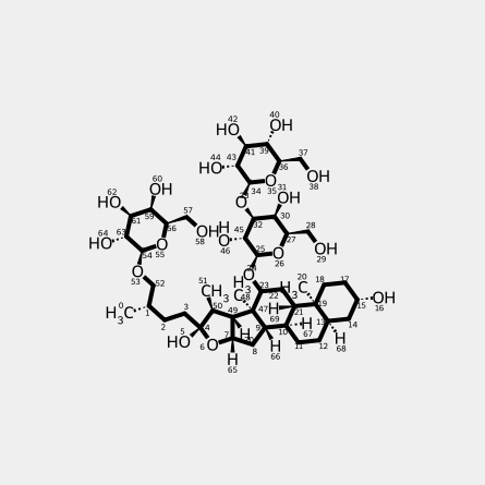 C[C@@H](CC[C@@]1(O)O[C@H]2C[C@H]3[C@@H]4CC[C@@H]5C[C@@H](O)CC[C@]5(C)[C@H]4CC(O[C@@H]4O[C@H](CO)[C@H](O)[C@H](O[C@@H]5O[C@H](CO)[C@@H](O)[C@H](O)[C@H]5O)[C@H]4O)[C@]3(C)[C@H]2[C@@H]1C)CO[C@@H]1O[C@H](CO)[C@H](O)[C@H](O)[C@H]1O